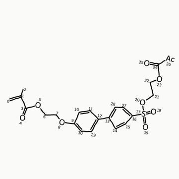 C=C(C)C(=O)OCCOc1ccc(-c2ccc(S(=O)(=O)OCCOC(=O)C(C)=O)cc2)cc1